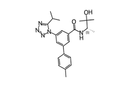 Cc1ccc(-c2cc(C(=O)N[C@@H](C)C(C)(C)O)cc(-n3nnnc3C(C)C)c2)cc1